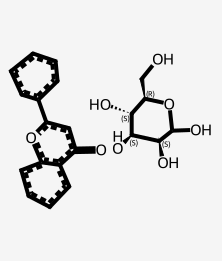 O=c1cc(-c2ccccc2)oc2ccccc12.OC[C@H]1OC(O)[C@@H](O)[C@@H](O)[C@@H]1O